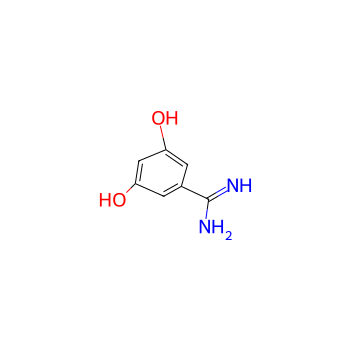 N=C(N)c1cc(O)cc(O)c1